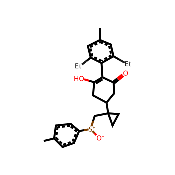 CCc1cc(C)cc(CC)c1C1=C(O)CC(C2(C[S+]([O-])c3ccc(C)cc3)CC2)CC1=O